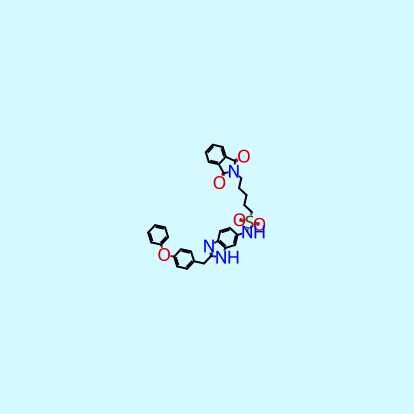 O=C1c2ccccc2C(=O)N1CCCCCS(=O)(=O)Nc1ccc2nc(Cc3ccc(Oc4ccccc4)cc3)[nH]c2c1